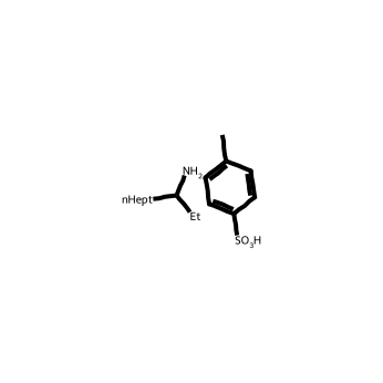 CCCCCCCC(N)CC.Cc1ccc(S(=O)(=O)O)cc1